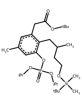 Cc1cc(CC(=O)OC(C)(C)C)c(CC(C)CCO[Si](C)(C)C(C)(C)C)c(OP(=O)(OC(C)C)OC(C)C)c1